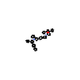 C1=C(c2ccc(-c3cccc(N(c4ccccc4)c4ccccc4-c4ccc(-c5ccccc5)cc4)c3)cc2)CCc2c1c1ccccc1n2-c1cc(-c2ccccc2)cc(-c2ccc(-c3ccccc3)cc2)c1